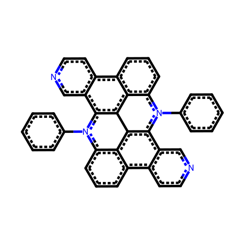 c1ccc(-n2c3cccc4c5ccncc5c5c(c43)-c3c4c(cccc4n5-c4ccccc4)c4ccncc4c32)cc1